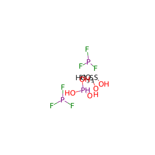 FP(F)F.FP(F)F.O=S(=O)(O)O.O=S(=O)(O)O.O=[PH](O)O